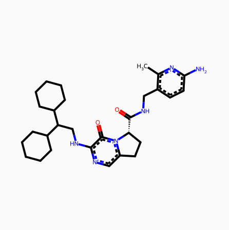 Cc1nc(N)ccc1CNC(=O)[C@@H]1CCc2cnc(NCC(C3CCCCC3)C3CCCCC3)c(=O)n21